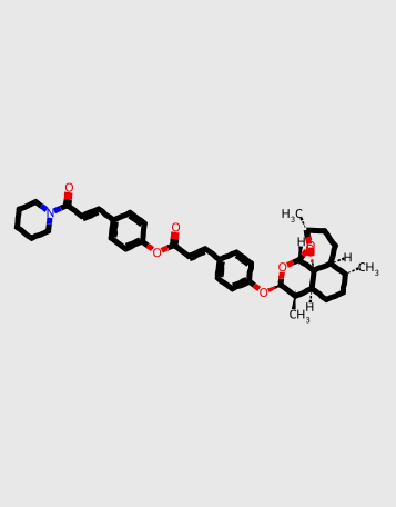 C[C@H]1[C@@H](Oc2ccc(/C=C/C(=O)Oc3ccc(/C=C/C(=O)N4CCCCC4)cc3)cc2)O[C@@H]2O[C@]3(C)CC[C@H]4[C@H](C)CC[C@@H]1[C@@]24OO3